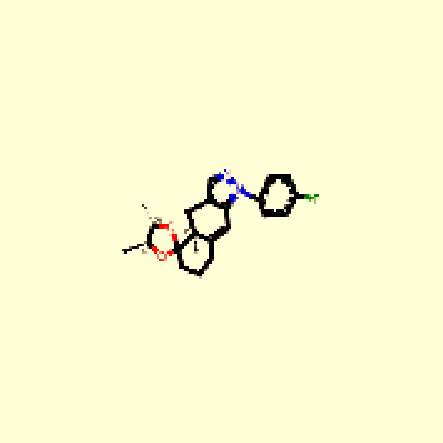 C[C@@H]1OC2(CCCC3=Cc4c(cnn4-c4ccc(F)cc4)C[C@@]32C)O[C@H]1C